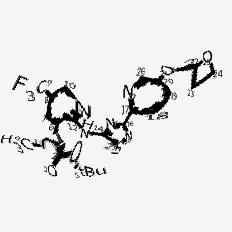 CN(C(=O)OC(C)(C)C)c1cc(C(F)(F)F)cnc1Nc1nc(-c2ccc(OC3CCO3)cn2)ns1